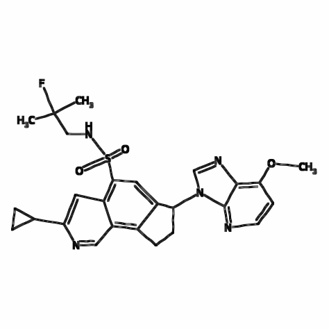 COc1ccnc2c1ncn2C1CCc2c1cc(S(=O)(=O)NCC(C)(C)F)c1cc(C3CC3)ncc21